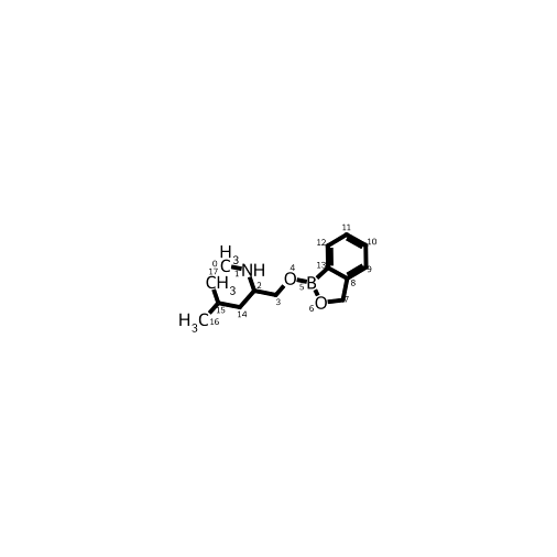 CNC(COB1OCc2ccccc21)CC(C)C